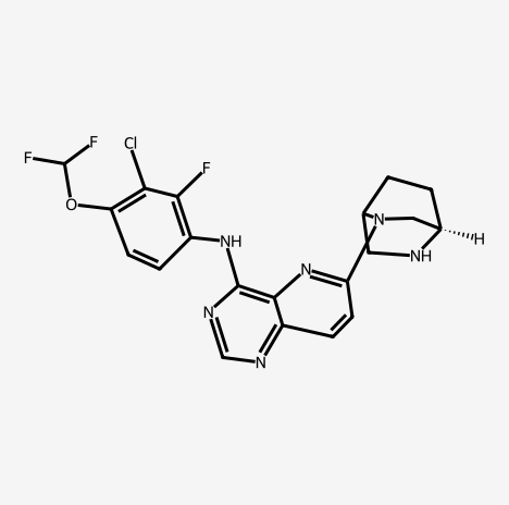 Fc1c(Nc2ncnc3ccc(N4C[C@H]5CCC4CN5)nc23)ccc(OC(F)F)c1Cl